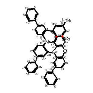 CC(C)(C)c1cc(-c2cc(-c3ccccc3)ccc2N2c3ccc(-c4ccccc4)cc3B3c4cc(-c5ccccc5)ccc4Oc4cccc2c43)cc(C(C)(C)C)c1